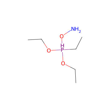 CCO[PH](CC)(ON)OCC